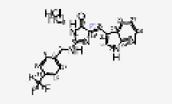 Cl.Cl.O=C1NC(NCc2ccc(C(F)(F)F)cc2)=N/C1=C\c1c[nH]c2ncccc12